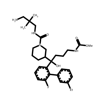 CCc1cccc(-c2c(F)cccc2C(O)(CCCNC(=O)OC)C2CCCN(C(=O)NCC(C)(C)CN)C2)c1